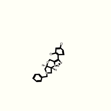 Clc1ccc(-c2nnn3c2CO[C@@H]2CN(Cc4ccccc4)C[C@H]23)c(Cl)c1